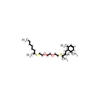 CCCCCCC(C)SCCOCCOCCSC(C)CCC1C(C)C=CCC1(C)C